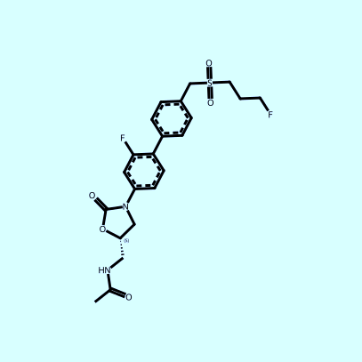 CC(=O)NC[C@H]1CN(c2ccc(-c3ccc(CS(=O)(=O)CCCF)cc3)c(F)c2)C(=O)O1